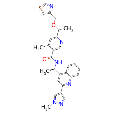 Cc1cc(C(C)OCc2cscn2)ncc1C(=O)N[C@H](C)c1cc(-c2cnn(C)c2)nc2ccccc12